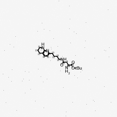 CC(C)(C)OC(=O)[C@@H](N)CC(=O)NCCCCc1ccc2c(n1)NCCC2